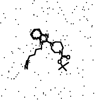 CC(C)(C)OC(=O)N1CCCN(c2nc3ccccc3n2CCCCC#N)CC1